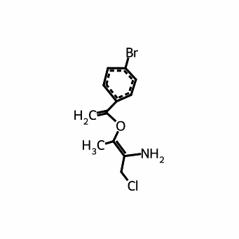 C=C(O/C(C)=C(\N)CCl)c1ccc(Br)cc1